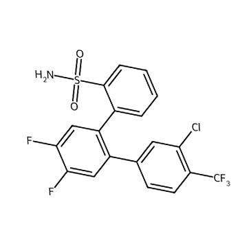 NS(=O)(=O)c1ccccc1-c1cc(F)c(F)cc1-c1ccc(C(F)(F)F)c(Cl)c1